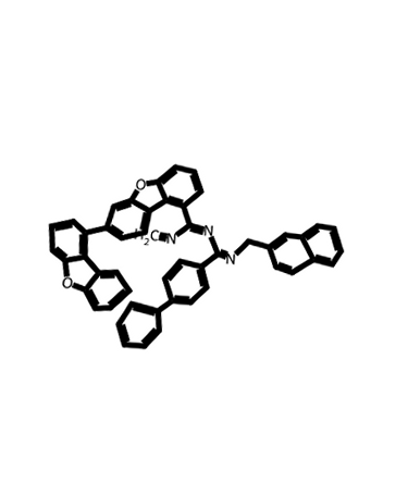 C=N/C(=N\C(=N/Cc1ccc2ccccc2c1)c1ccc(-c2ccccc2)cc1)c1cccc2oc3cc(-c4cccc5oc6ccccc6c45)ccc3c12